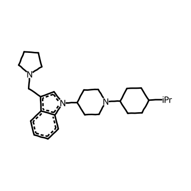 CC(C)C1CCC(N2CCC(n3cc(CN4CCCC4)c4ccccc43)CC2)CC1